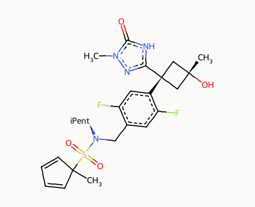 CCC[C@H](C)N(Cc1cc(F)c([C@]2(c3nn(C)c(=O)[nH]3)C[C@@](C)(O)C2)cc1F)S(=O)(=O)C1(C)C=CC=C1